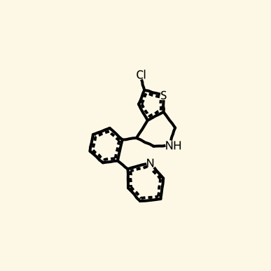 Clc1cc2c(s1)CNCC2c1ccccc1-c1ccccn1